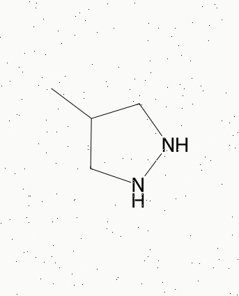 CC1CNNC1